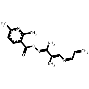 C=C\C=N/C=C(N)/C(N)=N/OC(=O)c1ccc(C(F)(F)F)nc1C